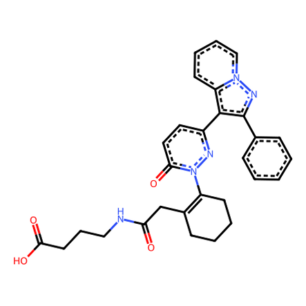 O=C(O)CCCNC(=O)CC1=C(n2nc(-c3c(-c4ccccc4)nn4ccccc34)ccc2=O)CCCC1